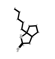 CCCCCC12CCCC1CC(=O)O2